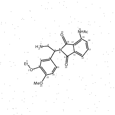 CCOc1cc(C(CN)N2C(=O)c3cccc(NC(C)=O)c3C2=O)ccc1OC